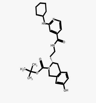 CC(C)(C)OC(=O)N1Cc2cc(O)ccc2C[C@H]1CCNC(=O)c1ccnc(NC2CCCCC2)c1